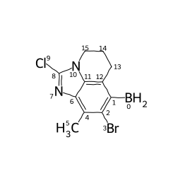 Bc1c(Br)c(C)c2nc(Cl)n3c2c1CCC3